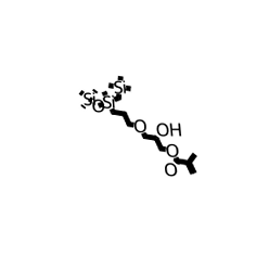 C=C(C)C(=O)OCC(O)COCCC[Si](C)(C[Si](C)(C)C)O[Si](C)(C)C